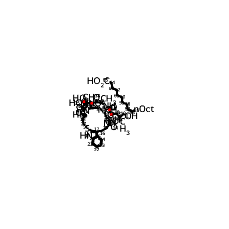 CC1NC(=O)C(CC(C)(O)CO)NC(=O)C2Cc3c([nH]c4ccccc34)SCC(NC(=O)C(C(C)O)NC1=O)C(=O)N1CC(O)CC1C(=O)NC(C)C(=O)N2.CCCCCCCC/C=C\CCCCCCCC(=O)O